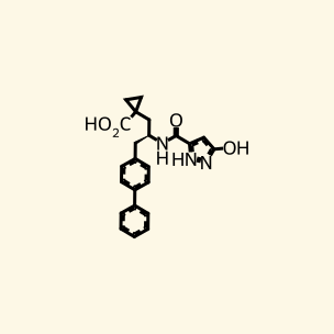 O=C(N[C@@H](Cc1ccc(-c2ccccc2)cc1)CC1(C(=O)O)CC1)c1cc(O)n[nH]1